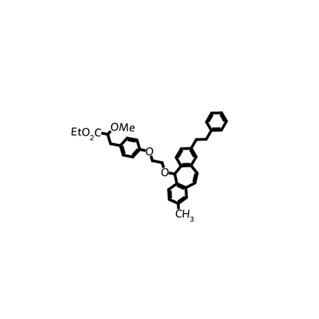 CCOC(=O)C(Cc1ccc(OCCOC2c3ccc(C)cc3C=Cc3cc(CCc4ccccc4)ccc32)cc1)OC